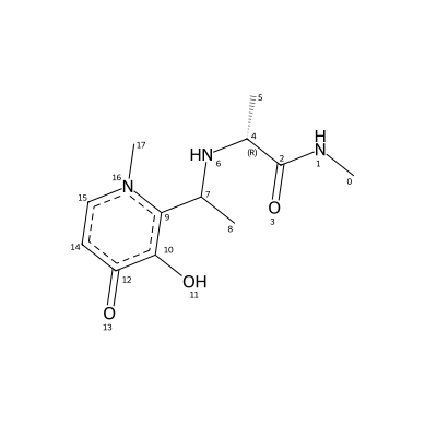 CNC(=O)[C@@H](C)NC(C)c1c(O)c(=O)ccn1C